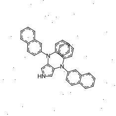 c1ccc(N(c2ccc3ccccc3c2)c2c[nH]cc2N(c2ccccc2)c2ccc3ccccc3c2)cc1